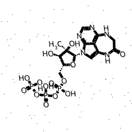 C[C@@]1(O)[C@H](O)[C@@H](COP(=O)(O)OP(=O)(O)OP(=O)(O)O)O[C@H]1n1cc2c3c(ncnc31)NCC(=O)N2